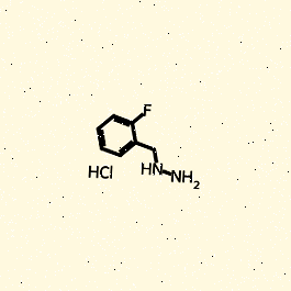 Cl.NNCc1ccccc1F